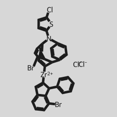 Clc1ccc(N2c3ccc(cc3)C3[C]([Zr+2][C]4=Cc5cccc(Br)c5C4c4ccccc4)=Cc4c2ccc(Br)c43)s1.[Cl-].[Cl-]